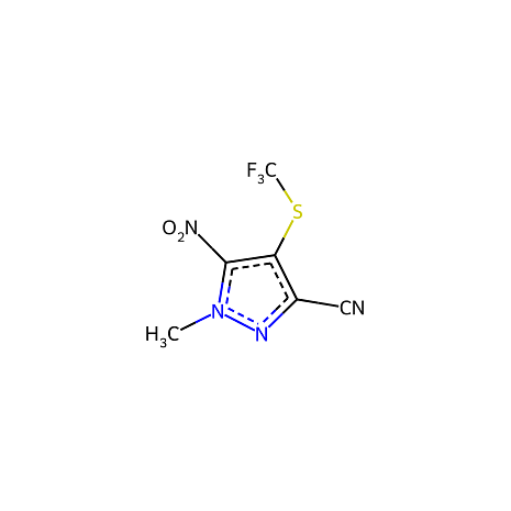 Cn1nc(C#N)c(SC(F)(F)F)c1[N+](=O)[O-]